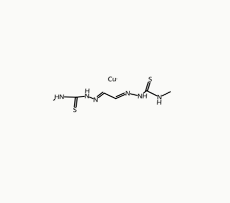 CNC(=S)NN=CC=NNC(=S)NC.[Cu]